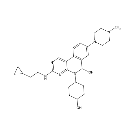 CN1CCN(c2ccc3c(c2)C(O)N(C2CCC(O)CC2)c2nc(NCCC4CC4)ncc2-3)CC1